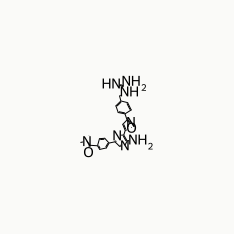 CN(C)C(=O)c1ccc(-c2cnc(N)c(-c3cc(-c4ccc(CNC(=N)N)cc4)no3)n2)cc1